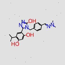 CC(C)c1cc(-c2nnc(O)n2Cc2ccc(/C=N/N(C)C)cc2)c(O)cc1O